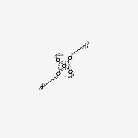 CCCCCCCCOc1ccc(C(=O)Oc2cc(OC(=O)c3ccc(OCCCCCCOCC4(CC)COC4)cc3)c(OC(=O)c3ccc(OCCCCCCCC)cc3)cc2OC(=O)c2ccc(OCCCCCCOCC3(CC)COC3)cc2)cc1